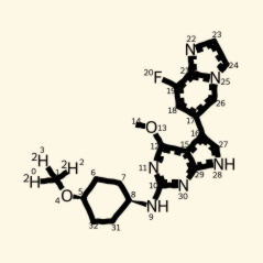 [2H]C([2H])([2H])O[C@H]1CC[C@@H](Nc2nc(OC)c3c(-c4cc(F)c5nccn5c4)c[nH]c3n2)CC1